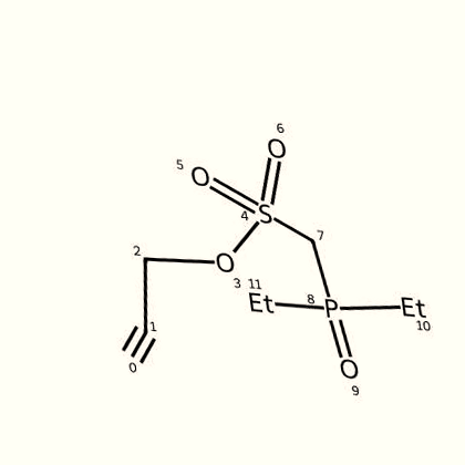 C#CCOS(=O)(=O)CP(=O)(CC)CC